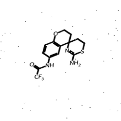 NC1=NC2(CCOc3ccc(NC(=O)C(F)(F)F)cc32)CCS1